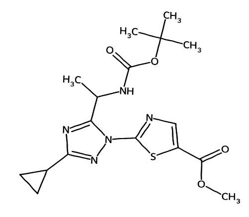 COC(=O)c1cnc(-n2nc(C3CC3)nc2C(C)NC(=O)OC(C)(C)C)s1